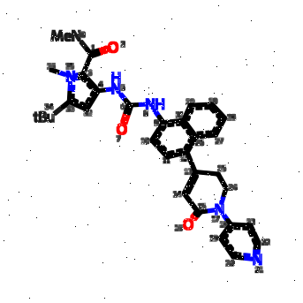 CNC(=O)c1c(NC(=O)Nc2ccc(C3=CC(=O)N(c4ccncc4)CC3)c3ccccc23)cc(C(C)(C)C)n1C